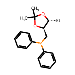 CC[C@H]1OC(C)(C)O[C@@H]1CP(c1ccccc1)c1ccccc1